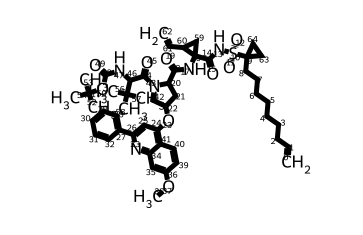 C=CCCCCCCCC1(S(=O)(=O)NC(=O)C2(NC(=O)C3CC(Oc4cc(-c5ccccc5)nc5cc(OC)ccc45)CN3C(=O)C(NC(=O)OC(C)(C)C)C(C)(C)C)CC2C=C)CC1